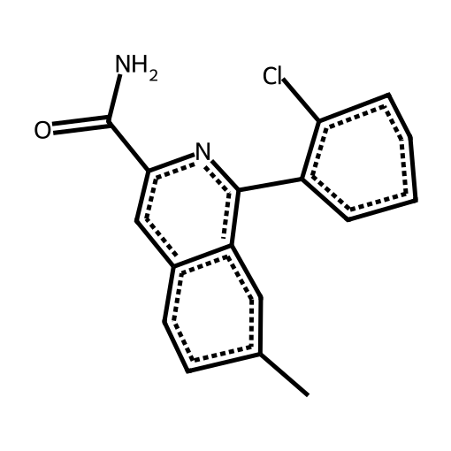 Cc1ccc2cc(C(N)=O)nc(-c3ccccc3Cl)c2c1